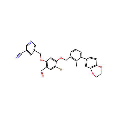 Cc1c(COc2cc(OCc3cncc(C#N)c3)c(C=O)cc2Br)cccc1-c1ccc2c(c1)OCCO2